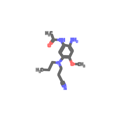 CCCN(CCC#N)c1cc(NC(C)=O)c(N)cc1OC